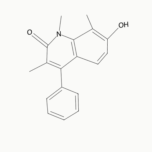 Cc1c(-c2ccccc2)c2ccc(O)c(C)c2n(C)c1=O